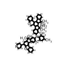 Cc1cc(C)c(N(c2ccc3c(c2)C(C)(C)c2cc(-c4ccncc4)c4oc5ccccc5c4c2-3)c2ccc3c(c2)C(C)(C)c2c-3c3c(c4c2C(C)(C)c2ccccc2-4)-c2ccccc2OC3)c(C)c1